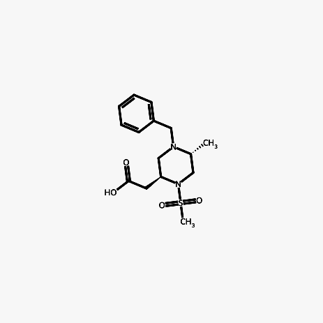 C[C@@H]1CN(S(C)(=O)=O)[C@@H](CC(=O)O)CN1Cc1ccccc1